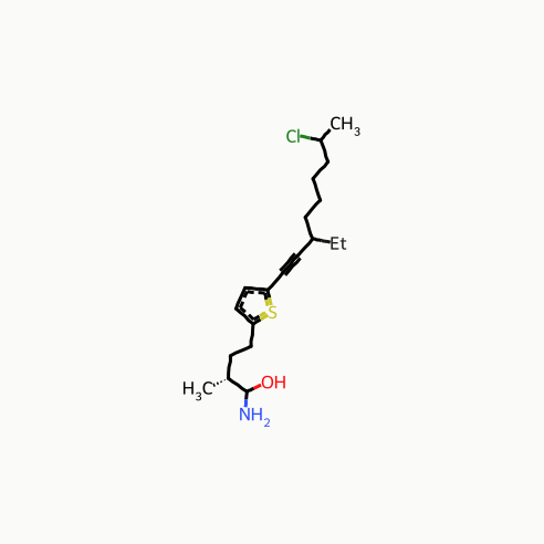 CCC(C#Cc1ccc(CC[C@@H](C)C(N)O)s1)CCCCC(C)Cl